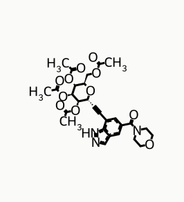 CC(=O)OC[C@H]1O[C@H](C#Cc2cc(C(=O)N3CCOCC3)cc3cn[nH]c23)[C@@H](OC(C)=O)[C@@H](OC(C)=O)[C@@H]1OC(C)=O